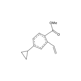 C=Cc1cc(C2CC2)ccc1C(=O)OC